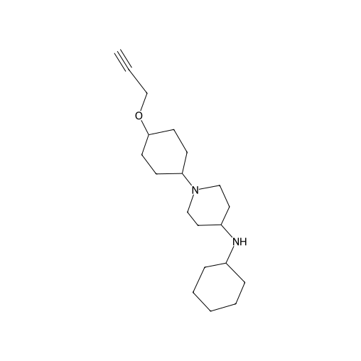 C#CCOC1CCC(N2CCC(NC3CCCCC3)CC2)CC1